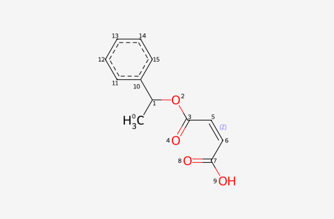 CC(OC(=O)/C=C\C(=O)O)c1ccccc1